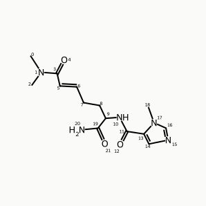 CN(C)C(=O)C=CCCC(NC(=O)c1cncn1C)C(N)=O